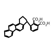 O=C(O)c1cccc(C2CCCc3c2ccc2c3ccc3ccccc32)c1C(=O)O